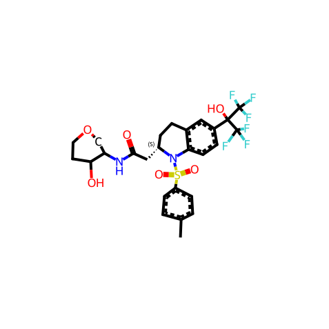 Cc1ccc(S(=O)(=O)N2c3ccc(C(O)(C(F)(F)F)C(F)(F)F)cc3CC[C@H]2CC(=O)NC2COCCC2O)cc1